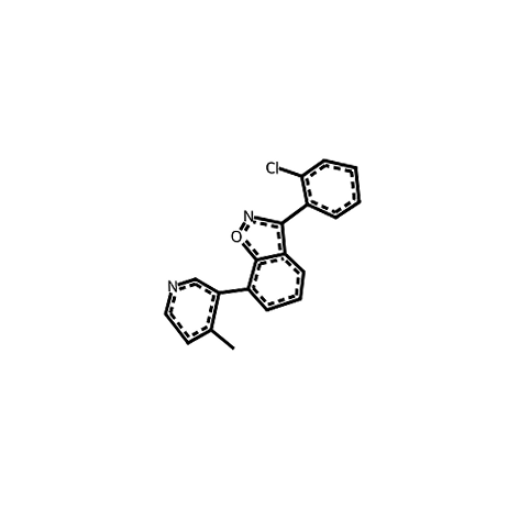 Cc1ccncc1-c1cccc2c(-c3ccccc3Cl)noc12